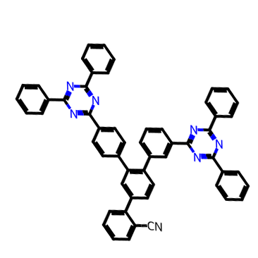 N#Cc1ccccc1-c1ccc(-c2cccc(-c3nc(-c4ccccc4)nc(-c4ccccc4)n3)c2)c(-c2ccc(-c3nc(-c4ccccc4)nc(-c4ccccc4)n3)cc2)c1